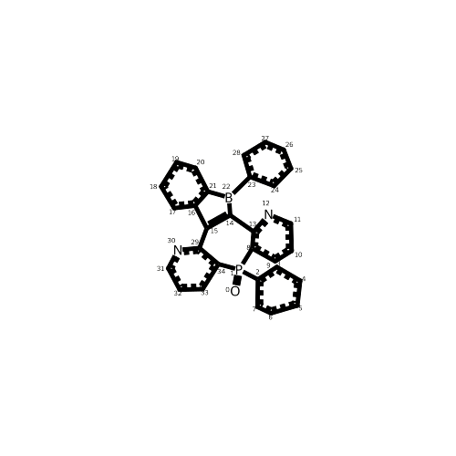 O=P1(c2ccccc2)c2cccnc2C2=C(c3ccccc3B2c2ccccc2)c2ncccc21